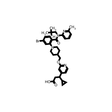 Cc1cccc(N(CC(C)(C)C)C(=O)c2ccc(Br)cc2N2CCC(COc3cc(C(CC(=O)O)C4CC4)ccn3)CC2)n1